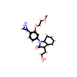 COCCOc1cc(N2C(=O)C(CCO)C3CCCCC32)ccc1C1CN1